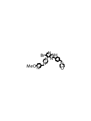 COc1ccc(CN2CCN(c3c(Br)cnc4[nH]c(-c5ccc(CN6CCOCC6)cc5)nc34)CC2)cn1